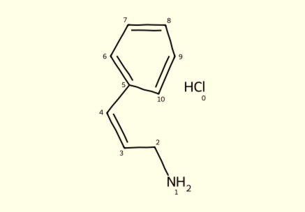 Cl.NC/C=C\c1ccccc1